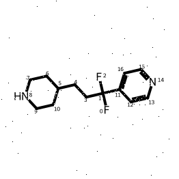 FC(F)(CCC1CCNCC1)c1ccncc1